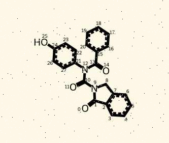 O=C1c2ccccc2CN1C(=O)N(C(=O)c1ccccc1)c1ccc(O)cc1